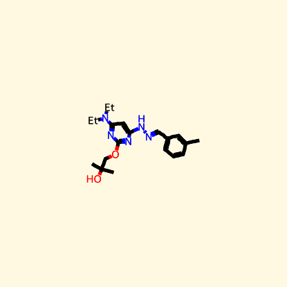 CCN(CC)c1cc(NN=Cc2cccc(C)c2)nc(OCC(C)(C)O)n1